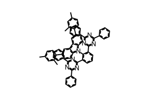 Cc1ccc(-c2ccc3c(c2)c2cc(-c4ccc(C)cc4C)ccc2n3-c2c(-c3nc(-c4ccccc4)nc(-c4ccccc4)n3)cccc2-c2nc(-c3ccccc3)nc(-c3ccccc3)n2)c(C)c1